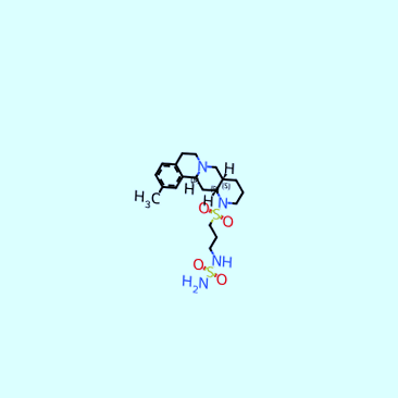 Cc1ccc2c(c1)[C@@H]1C[C@@H]3[C@@H](CCCN3S(=O)(=O)CCCNS(N)(=O)=O)CN1CC2